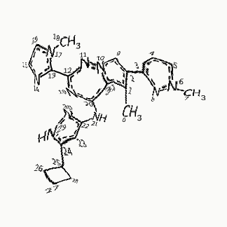 Cc1c(-c2ccn(C)n2)cn2nc(-c3nccn3C)nc(Nc3cc(C4CCC4)[nH]n3)c12